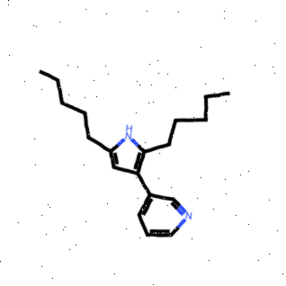 CCCCCc1cc(-c2cccnc2)c(CCCCC)[nH]1